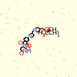 CC(C)(C)OC(=O)CC1CCN(CC2CCN(c3ccc4c(c3)C(=O)N(C3CCC(=O)NC3=O)C4=O)C2)CC1